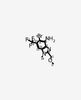 COCc1nc2c(N)c(Br)c(C(F)(F)F)cc2n1C